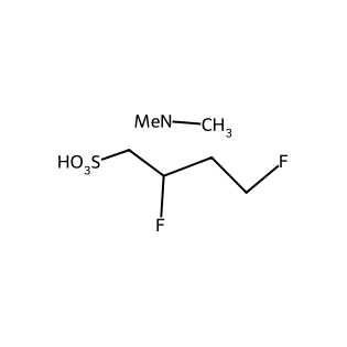 CNC.O=S(=O)(O)CC(F)CCF